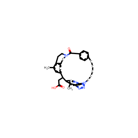 Cc1cc2cc3c1CCN(C3)C(=O)c1ccc(cc1)CCCCCn1nnc3c(C)c(cnc31)C2CC(=O)O